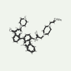 COCCN1CCN(CC(=O)Nc2ccc(-c3cccc4c(=O)cc(N5CCOCC5)oc34)c3sc4ccccc4c23)CC1